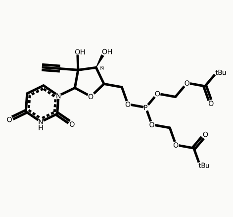 C#CC1(O)C(n2ccc(=O)[nH]c2=O)OC(COP(OCOC(=O)C(C)(C)C)OCOC(=O)C(C)(C)C)[C@@H]1O